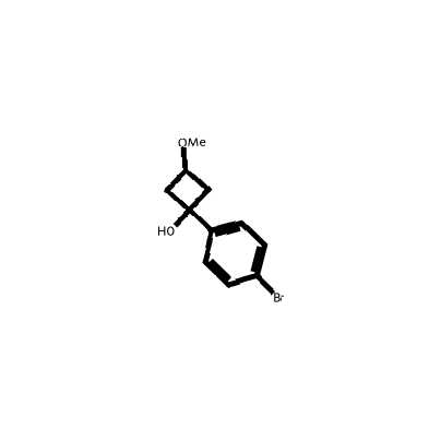 COC1CC(O)(c2ccc(Br)cc2)C1